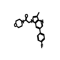 Cc1cn(CC(=O)N2CCOCC2)c2cc(-c3ccc(F)cc3)cnc12